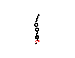 CCCCCCC[C@H]1CC[C@H](C2CCC(CCc3ccc(C(=O)OCC)cc3)CC2)CC1